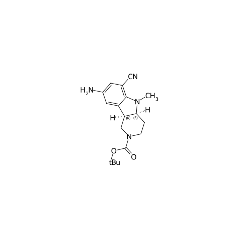 CN1c2c(C#N)cc(N)cc2[C@@H]2CN(C(=O)OC(C)(C)C)CC[C@@H]21